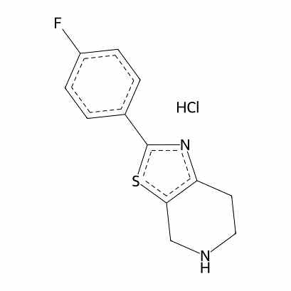 Cl.Fc1ccc(-c2nc3c(s2)CNCC3)cc1